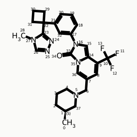 C[C@H]1CCCN(Cc2cc(C(F)(F)F)c3cn(-c4cccc(C5(c6nncn6C)CCC5)c4)c(=O)n3c2)C1